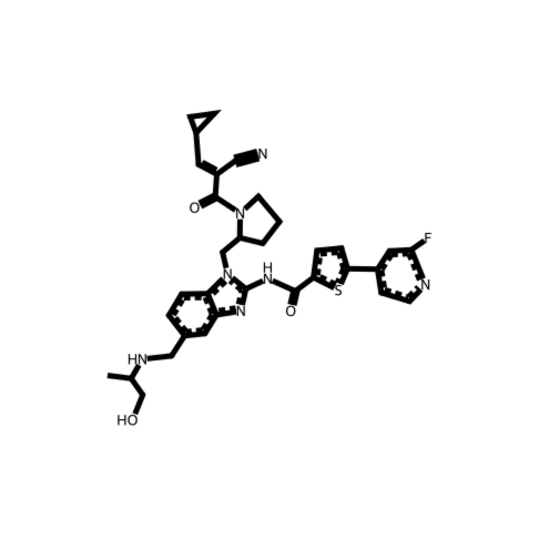 CC(CO)NCc1ccc2c(c1)nc(NC(=O)c1ccc(-c3ccnc(F)c3)s1)n2CC1CCCN1C(=O)C(C#N)=CC1CC1